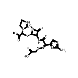 CN1C(=O)C(NC(=O)/C(=N\OCC(=O)O)c2csc(N)n2)[C@H]1SC(C(=O)O)N1CCNC1